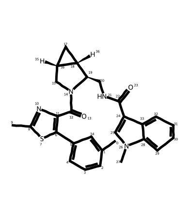 Cc1cccc(-c2sc(C)nc2C(=O)N2C[C@@H]3C[C@@H]3[C@H]2CNC(=O)c2cn(C)c3ccccc23)c1